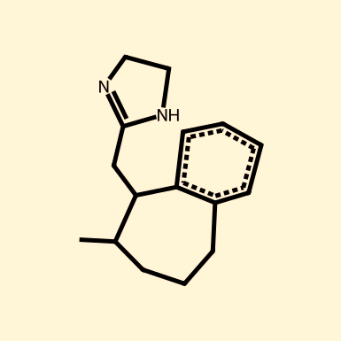 CC1CCCc2ccccc2C1CC1=NCCN1